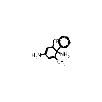 NC1=CC(C(F)(F)F)C(N)(c2ccccc2)C(C(F)(F)F)=C1